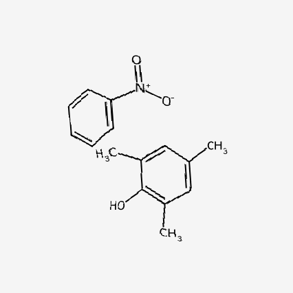 Cc1cc(C)c(O)c(C)c1.O=[N+]([O-])c1ccccc1